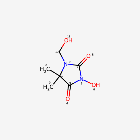 CC1(C)C(=O)N(O)C(=O)N1CO